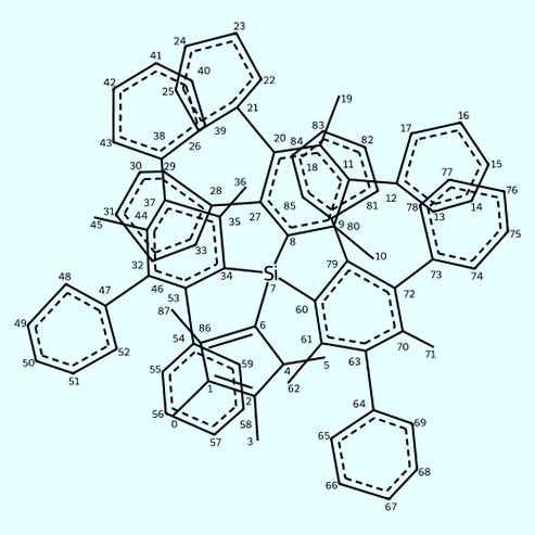 CC1=C(C)C(C)C([Si](c2c(C)c(-c3ccccc3)c(C)c(-c3ccccc3)c2-c2ccccc2)(c2c(C)c(-c3ccccc3)c(C)c(-c3ccccc3)c2-c2ccccc2)c2c(C)c(-c3ccccc3)c(C)c(-c3ccccc3)c2-c2ccccc2)=C1C